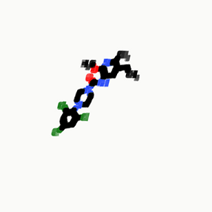 CCc1cc(NC(=O)N2CCN(c3c(Cl)cc(Cl)cc3Cl)CC2)c(OC)nc1C